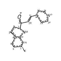 Cc1ccc2ccc(C(=O)C=Cc3ccncc3)nc2c1